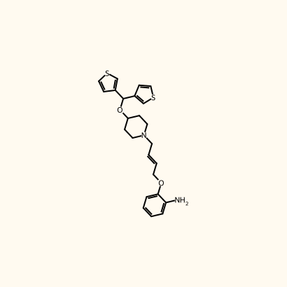 Nc1ccccc1OC/C=C/CN1CCC(OC(c2ccsc2)c2ccsc2)CC1